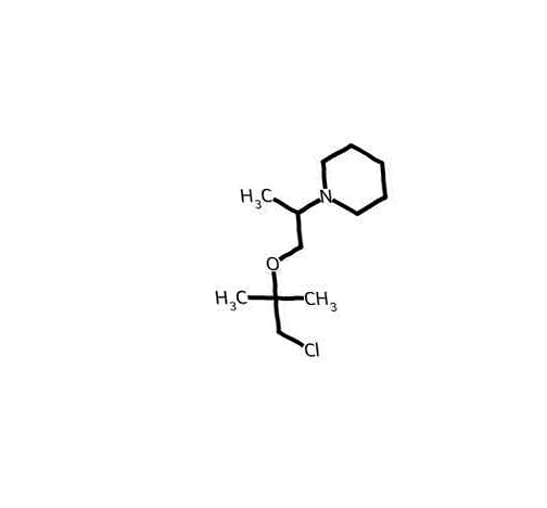 CC(COC(C)(C)CCl)N1CCCCC1